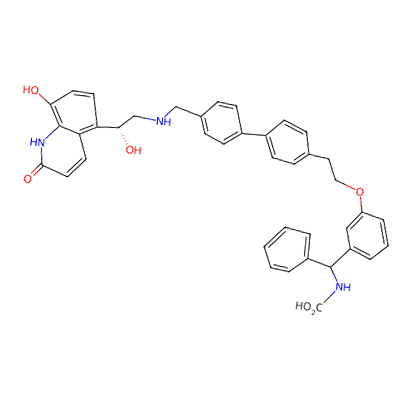 O=C(O)NC(c1ccccc1)c1cccc(OCCc2ccc(-c3ccc(CNC[C@H](O)c4ccc(O)c5[nH]c(=O)ccc45)cc3)cc2)c1